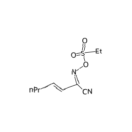 CCCC=CC(C#N)=NOS(=O)(=O)CC